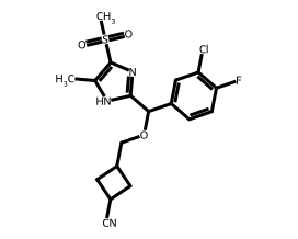 Cc1[nH]c(C(OCC2CC(C#N)C2)c2ccc(F)c(Cl)c2)nc1S(C)(=O)=O